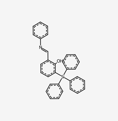 Oc1c(/C=N/c2ccccc2)cccc1[Si](c1ccccc1)(c1ccccc1)c1ccccc1